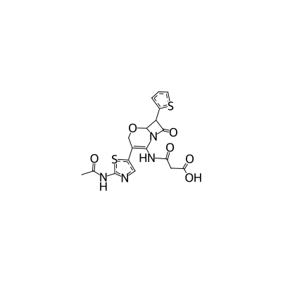 CC(=O)Nc1ncc(C2=C(NC(=O)CC(=O)O)N3C(=O)C(c4cccs4)C3OC2)s1